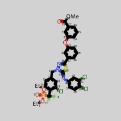 CCOP(=O)(OCC)C(F)(F)c1ccc(Cn2nc(-c3cccc(Oc4cccc(C(=O)OC)c4)c3)sc2=Nc2ccc(Cl)c(Cl)c2)cc1Cl